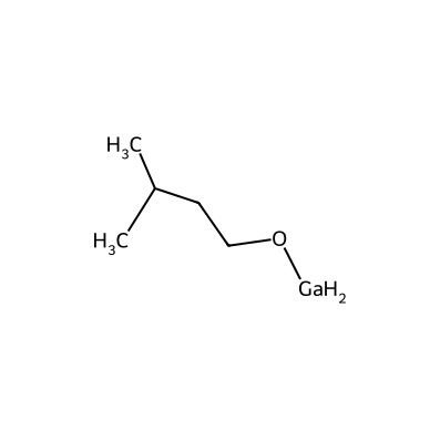 CC(C)CC[O][GaH2]